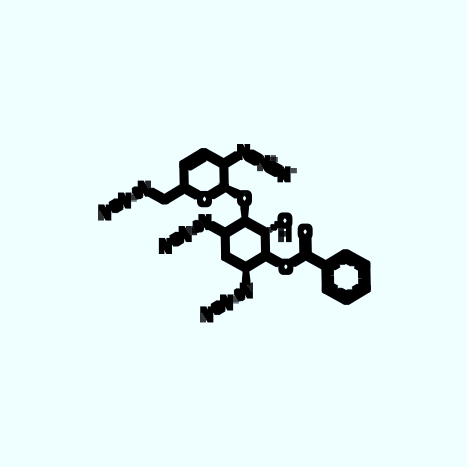 [N-]=[N+]=NCC1C=CC(N=[N+]=[N-])[C@@H](O[C@@H]2C(N=[N+]=[N-])C[C@H](N=[N+]=[N-])C(OC(=O)c3ccccc3)[C@H]2O)O1